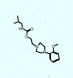 COc1ccccc1N1CCN(CCOC(=O)NCC(C)C)CC1